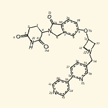 O=C1CCC(N2Cc3cc(OC4CN(Cc5ccc(-c6ccncc6)nc5)C4)ccc3C2=O)C(=O)N1